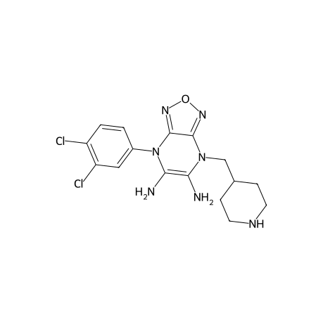 NC1=C(N)N(c2ccc(Cl)c(Cl)c2)c2nonc2N1CC1CCNCC1